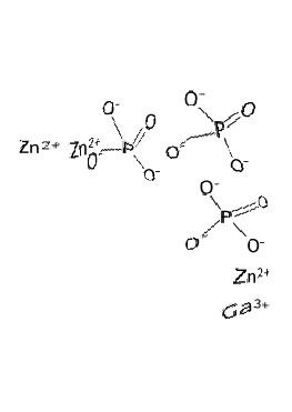 O=P([O-])([O-])[O-].O=P([O-])([O-])[O-].O=P([O-])([O-])[O-].[Ga+3].[Zn+2].[Zn+2].[Zn+2]